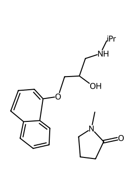 CC(C)NCC(O)COc1cccc2ccccc12.CN1CCCC1=O